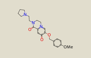 COc1ccc(COc2cn3c(cc2=O)C(=O)N(CCN2CCCC2)CC3)cc1